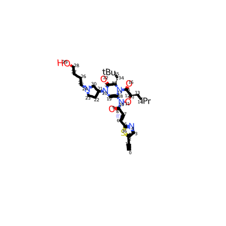 C#Cc1cnc(/C=C/C(=O)N2O[C@H](CC(C)C)C(=O)N3C2=CN(C2CCN(CCCCO)C2)C(=O)[C@@H]3CC(C)(C)C)s1